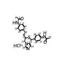 CC(=O)Nc1ccc(CSC(Cn2ccnc2)SCc2ccc(NC(C)=O)cc2)cc1.Cl